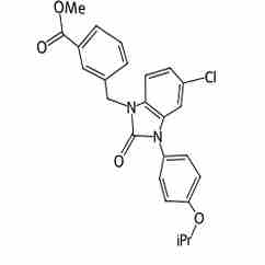 COC(=O)c1cccc(Cn2c(=O)n(-c3ccc(OC(C)C)cc3)c3cc(Cl)ccc32)c1